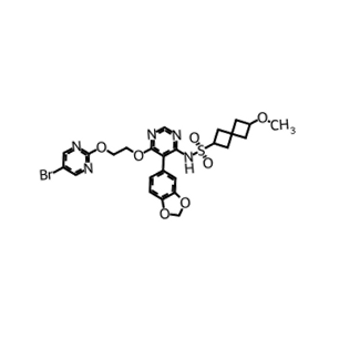 COC1CC2(C1)CC(S(=O)(=O)Nc1ncnc(OCCOc3ncc(Br)cn3)c1-c1ccc3c(c1)OCO3)C2